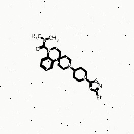 CCc1nsc(N2CCC(N3CCC4(CCN(C(=O)N(C)C)c5ccccc54)CC3)CC2)n1